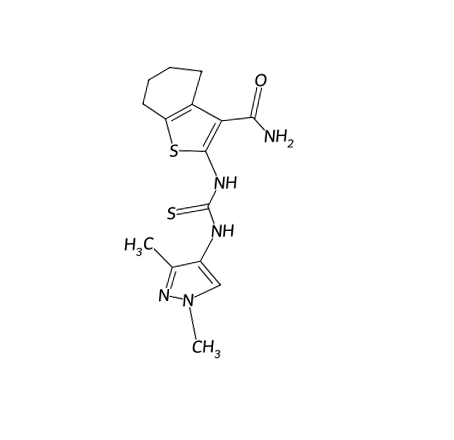 Cc1nn(C)cc1NC(=S)Nc1sc2c(c1C(N)=O)CCCC2